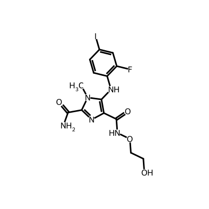 Cn1c(C(N)=O)nc(C(=O)NOCCO)c1Nc1ccc(I)cc1F